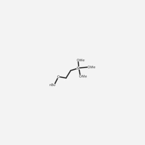 CCCCOCC[Si](OC)(OC)OC